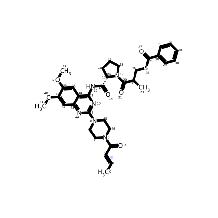 C/C=C/C(=O)N1CCN(c2nc(NC(=O)[C@@H]3CCCN3C(=O)C(C)CSC(=O)c3ccccc3)c3cc(OC)c(OC)cc3n2)CC1